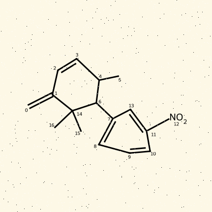 C=C1C=CC(C)C(c2cccc([N+](=O)[O-])c2)C1(C)C